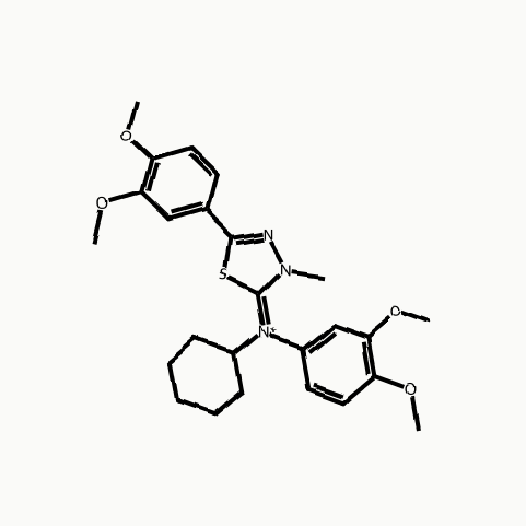 COc1ccc(-c2nn(C)c(=[N+](c3ccc(OC)c(OC)c3)C3CCCCC3)s2)cc1OC